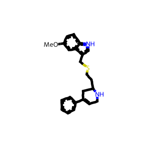 COc1ccc2[nH]cc(CSCCC3CC(c4ccccc4)=CCN3)c2c1